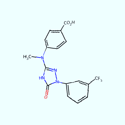 CN(c1ccc(C(=O)O)cc1)c1nn(-c2cccc(C(F)(F)F)c2)c(=O)[nH]1